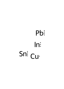 [Cu].[In].[Pb].[Sn]